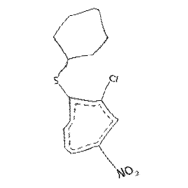 O=[N+]([O-])c1ccc(SC2CCCCC2)c(Cl)c1